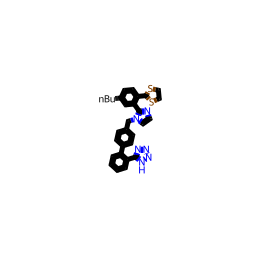 CCCCc1ccc(C2SCCS2)c(-c2nccn2Cc2ccc(-c3ccccc3-c3nnn[nH]3)cc2)c1